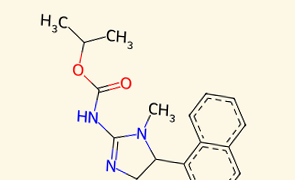 CC(C)OC(=O)NC1=NCC(c2cccc3ccccc23)N1C